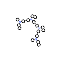 c1ccc(N(c2ccc(-c3ccc(N(c4ccc(-c5ccc(N(c6ccc(-c7ccc(N(c8ccccc8)c8ccc9ccccc9c8)cc7)cc6)c6cccc7ccccc67)cc5)cc4)c4cccc5ccccc45)cc3)cc2)c2ccc3ccccc3c2)cc1